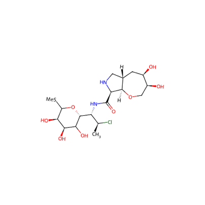 CSC1O[C@H]([C@H](NC(=O)[C@H]2NC[C@@H]3C[C@@H](O)[C@@H](O)CO[C@H]32)[C@H](C)Cl)C(O)[C@@H](O)[C@H]1O